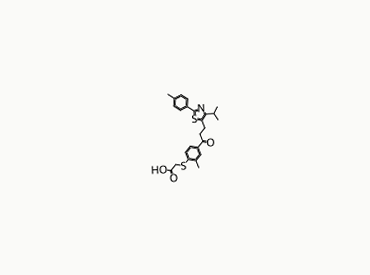 Cc1ccc(-c2nc(C(C)C)c(CCC(=O)c3ccc(SCC(=O)O)c(C)c3)s2)cc1